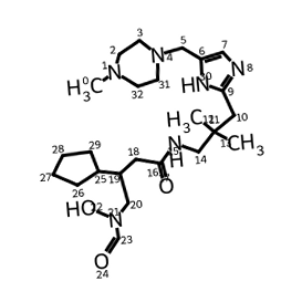 CN1CCN(Cc2cnc(CC(C)(C)CNC(=O)CC(CN(O)C=O)C3CCCC3)[nH]2)CC1